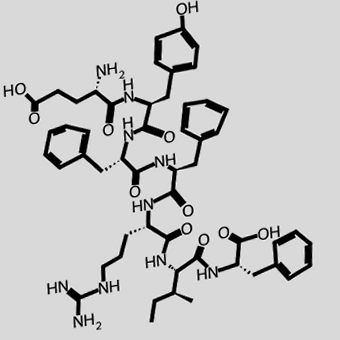 CC[C@H](C)[C@H](NC(=O)[C@H](CCCNC(=N)N)NC(=O)[C@H](Cc1ccccc1)NC(=O)[C@H](Cc1ccccc1)NC(=O)[C@H](Cc1ccc(O)cc1)NC(=O)[C@@H](N)CCC(=O)O)C(=O)N[C@@H](Cc1ccccc1)C(=O)O